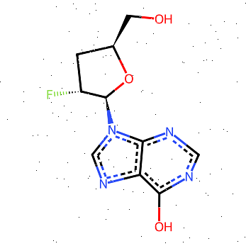 OC[C@@H]1C[C@@H](F)[C@H](n2cnc3c(O)ncnc32)O1